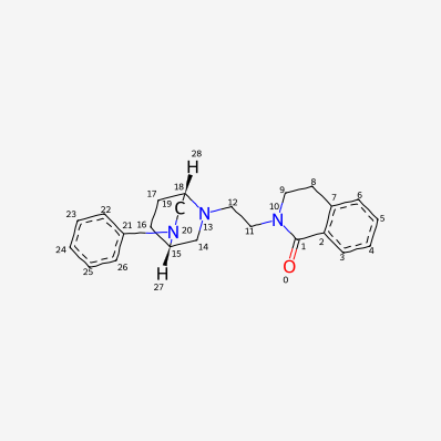 O=C1c2ccccc2CCN1CCN1C[C@@H]2CC[C@H]1CN2c1ccccc1